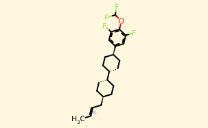 C/C=C/C[C@H]1CC[C@H]([C@H]2CC[C@H](c3cc(F)c(OC(F)F)c(F)c3)CC2)CC1